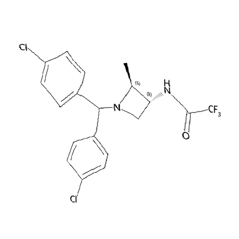 C[C@H]1[C@H](NC(=O)C(F)(F)F)CN1C(c1ccc(Cl)cc1)c1ccc(Cl)cc1